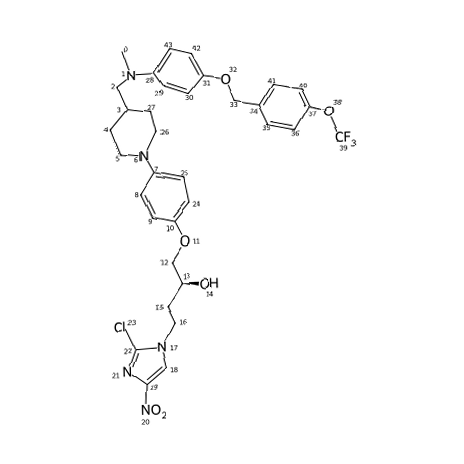 CN(CC1CCN(c2ccc(OC[C@@H](O)CCn3cc([N+](=O)[O-])nc3Cl)cc2)CC1)c1ccc(OCc2ccc(OC(F)(F)F)cc2)cc1